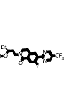 CC[C@@H](CCn1ccc2cc(-c3ncc(C(F)(F)F)cn3)c(I)cc2c1=O)OI